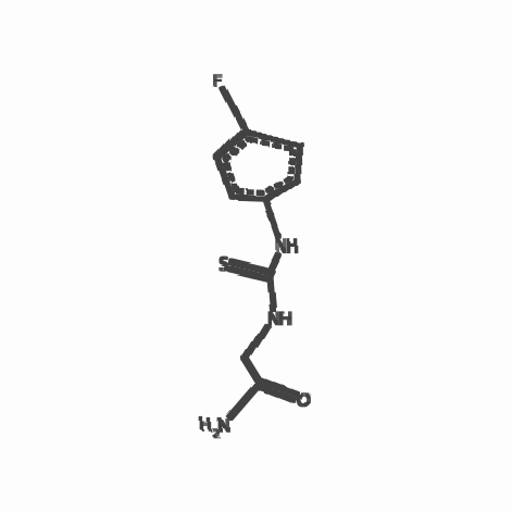 NC(=O)CNC(=S)Nc1ccc(F)cc1